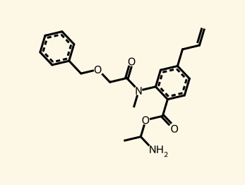 C=CCc1ccc(C(=O)OC(C)N)c(N(C)C(=O)COCc2ccccc2)c1